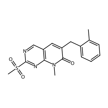 Cc1ccccc1Cc1cc2cnc(S(C)(=O)=O)nc2n(C)c1=O